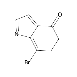 O=C1CCC(Br)=C2N=CC=C12